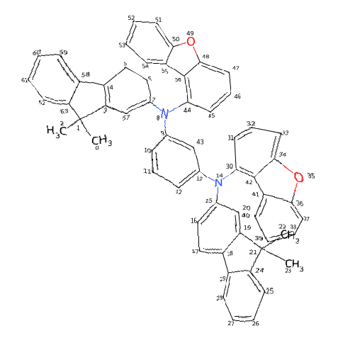 CC1(C)C2=C(CCC(N(c3cccc(N(c4ccc5c(c4)C(C)(C)c4ccccc4-5)c4cccc5oc6ccccc6c45)c3)c3cccc4oc5ccccc5c34)=C2)c2ccccc21